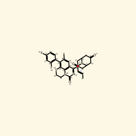 C/C=C/C(=O)N1C2CC(=O)CC1CN(c1nc(=O)n3c4c(c(-c5ccc(F)cc5F)c(C)cc14)SCC3)C2